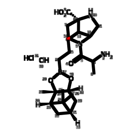 CC(N)C(=O)N1CC[C@@]2(C(=O)O)NCC1C2CCCB1O[C@@H]2C[C@@H]3C[C@@H](C3(C)C)[C@]2(C)O1.Cl.Cl